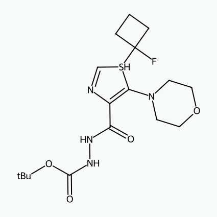 CC(C)(C)OC(=O)NNC(=O)C1=C(N2CCOCC2)[SH](C2(F)CCC2)C=N1